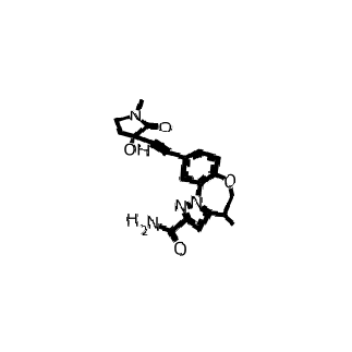 CC1COc2ccc(C#C[C@]3(O)CCN(C)C3=O)cc2-n2nc(C(N)=O)cc21